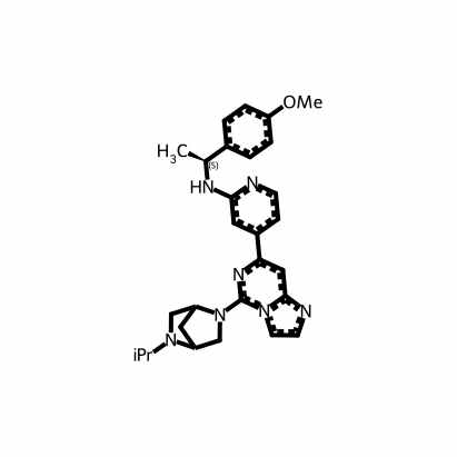 COc1ccc([C@H](C)Nc2cc(-c3cc4nccn4c(N4CC5CC4CN5C(C)C)n3)ccn2)cc1